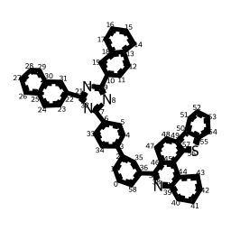 c1cc(-c2ccc(-c3nc(-c4ccc5ccccc5c4)nc(-c4ccc5ccccc5c4)n3)cc2)cc(-c2nc3ccccc3c3c2ccc2c4ccccc4sc23)c1